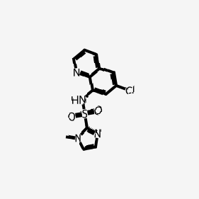 Cn1ccnc1S(=O)(=O)Nc1cc(Cl)cc2cccnc12